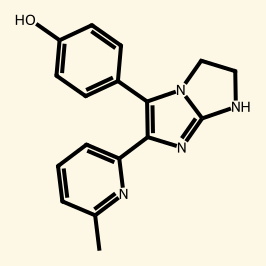 Cc1cccc(-c2nc3n(c2-c2ccc(O)cc2)CCN3)n1